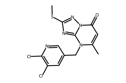 CSc1nc2n(Cc3cnc(Cl)c(Cl)c3)c(C)cc(=O)n2n1